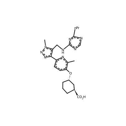 CCCc1ncnc(NCc2c(-c3ccc(O[C@H]4CCC[C@H](C(=O)O)C4)c(C)n3)nnn2C)n1